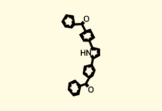 O=C(c1ccccc1)c1ccc(-c2ccc(-c3ccc(C(=O)c4ccccc4)cc3)[nH]2)cc1